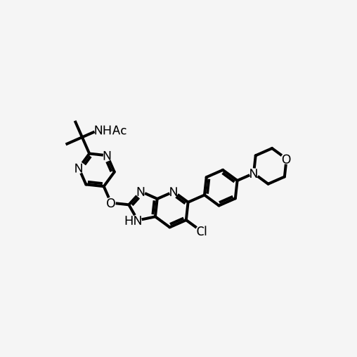 CC(=O)NC(C)(C)c1ncc(Oc2nc3nc(-c4ccc(N5CCOCC5)cc4)c(Cl)cc3[nH]2)cn1